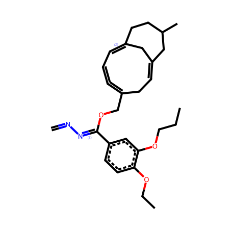 C=N/N=C(\OCC1=C=C/C=C2/CCC(C)CC(=CC1)C2)c1ccc(OCC)c(OCCC)c1